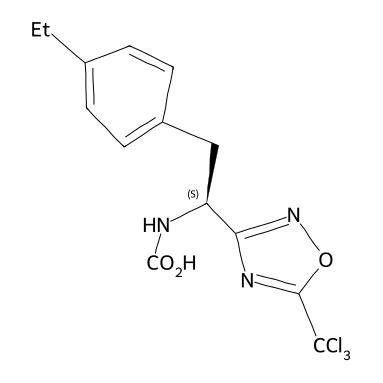 CCc1ccc(C[C@H](NC(=O)O)c2noc(C(Cl)(Cl)Cl)n2)cc1